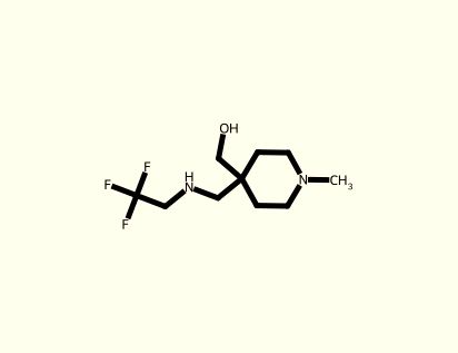 CN1CCC(CO)(CNCC(F)(F)F)CC1